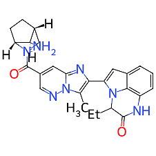 CCC1C(=O)Nc2cccc3cc(-c4nc5cc(C(=O)N6C[C@H]7CC[C@@H]6[C@@H]7N)cnn5c4C)n1c23